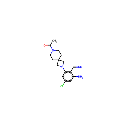 CC(=O)N1CCC2(CC1)CN(c1cc(Cl)cc(N)c1C=N)C2